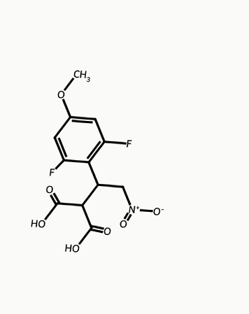 COc1cc(F)c(C(C[N+](=O)[O-])C(C(=O)O)C(=O)O)c(F)c1